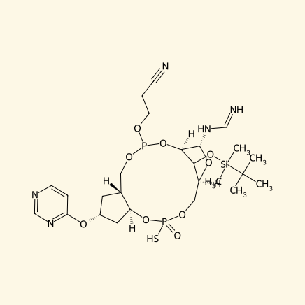 CC(C)(C)[Si](C)(C)OC1[C@@H]2COP(=O)(S)O[C@H]3C[C@H](Oc4ccncn4)C[C@@H]3COP(OCCC#N)O[C@H]1[C@H](NC=N)O2